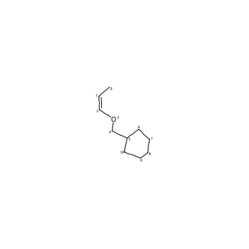 C/C=C\OCC1CCCCC1